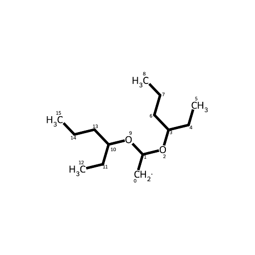 [CH2]C(OC(CC)CCC)OC(CC)CCC